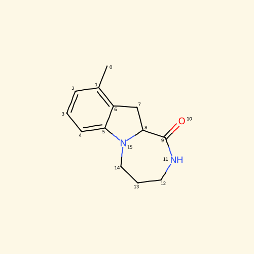 Cc1cccc2c1CC1C(=O)NCCCN21